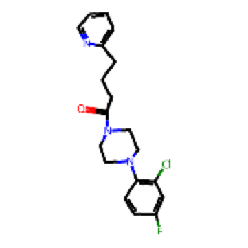 O=C(CCCc1ccccn1)N1CCN(c2ccc(F)cc2Cl)CC1